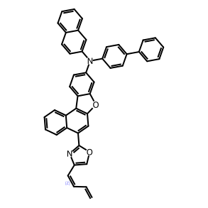 C=C/C=C\c1coc(-c2cc3oc4cc(N(c5ccc(-c6ccccc6)cc5)c5ccc6ccccc6c5)ccc4c3c3ccccc23)n1